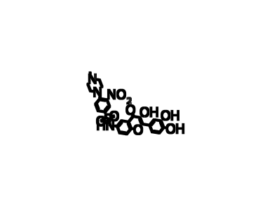 CN1CCN(c2ccc(S(=O)(=O)Nc3ccc4oc(-c5ccc(O)c(O)c5)c(O)c(=O)c4c3)cc2[N+](=O)[O-])CC1